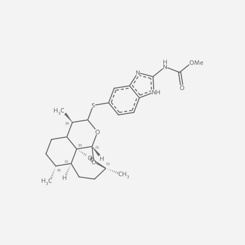 COC(=O)Nc1nc2cc(SC3O[C@@H]4O[C@]5(C)CC[C@H]6[C@H](C)CCC([C@H]3C)[C@@]46OO5)ccc2[nH]1